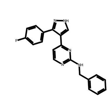 Fc1ccc(-c2n[nH]cc2-c2ccnc(NCc3ccccc3)n2)cc1